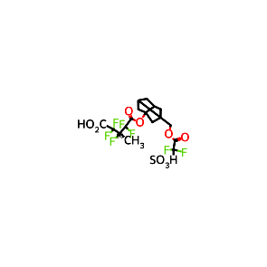 C[C@@](F)(C(F)(F)C(=O)O)C(F)(F)C(=O)OC12CC3CC1CC3(COC(=O)C(F)(F)S(=O)(=O)O)C2